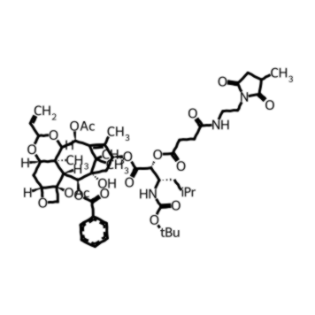 C=CC1O[C@H]2C[C@H]3OC[C@@]3(OC(C)=O)[C@H]3[C@H](OC(=O)c4ccccc4)[C@]4(O)C[C@H](OC(=O)[C@H](OC(=O)CCC(=O)NCCN5C(=O)CC(C)C5=O)[C@H](CC(C)C)NC(=O)OC(C)(C)C)C(C)=C([C@H](OC(C)=O)[C@H](O1)[C@]23C)C4(C)C